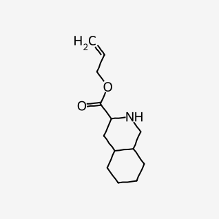 C=CCOC(=O)C1CC2CCCCC2CN1